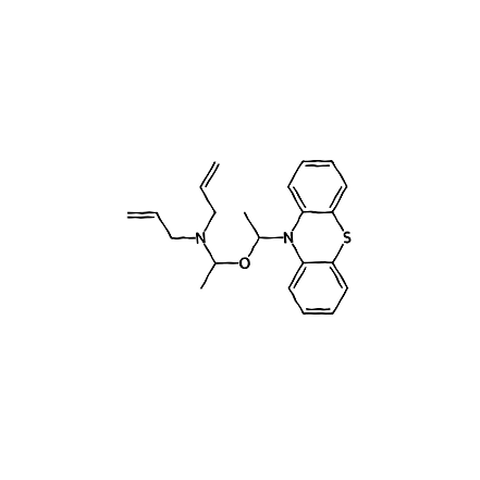 C=CCN(CC=C)C(C)OC(C)N1c2ccccc2Sc2ccccc21